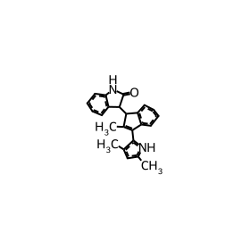 CC1=C(c2[nH]c(C)cc2C)c2ccccc2C1C1C(=O)Nc2ccccc21